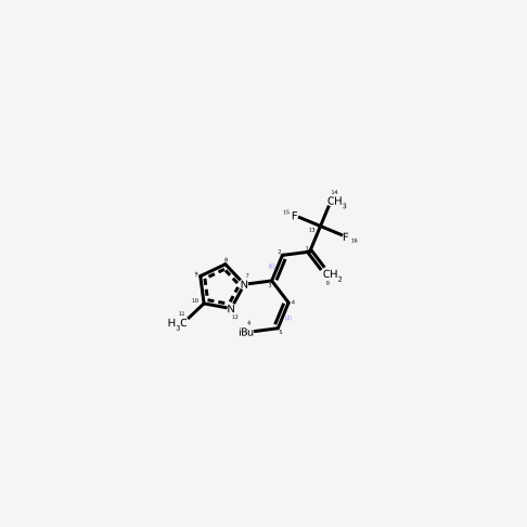 C=C(/C=C(\C=C/C(C)CC)n1ccc(C)n1)C(C)(F)F